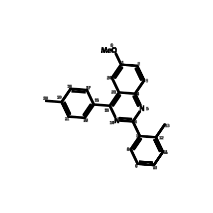 COc1ccc2nc(-c3ccccc3C)nc(-c3ccc(C)cc3)c2c1